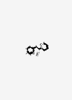 [Br-].[C+]1=CC=CCN1CCc1ccccc1